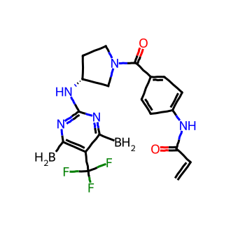 Bc1nc(N[C@@H]2CCN(C(=O)c3ccc(NC(=O)C=C)cc3)C2)nc(B)c1C(F)(F)F